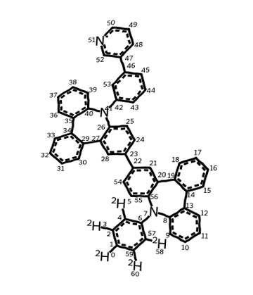 [2H]c1c([2H])c([2H])c(N2c3ccccc3-c3ccccc3-c3cc(-c4ccc5c(c4)-c4ccccc4-c4ccccc4N5c4cccc(-c5cccnc5)c4)ccc32)c([2H])c1[2H]